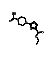 CCOC(=O)c1coc(N2CCN(C(=O)O)CC2)n1